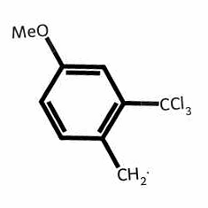 [CH2]c1ccc(OC)cc1C(Cl)(Cl)Cl